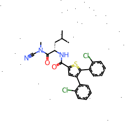 CC(C)C[C@H](NC(=O)c1cc(-c2ccccc2Cl)c(-c2ccccc2Cl)s1)C(=O)N(C)C#N